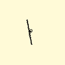 CCCCCCCCCCCCCCC([C]=O)CCCCCCCCCCCCCC